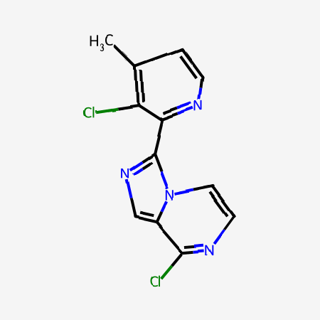 Cc1ccnc(-c2ncc3c(Cl)nccn23)c1Cl